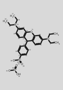 CCN(CC)c1ccc2c(c1)Oc1cc(N(CC)CC)ccc1C2c1ccc([N+](=O)[O-])cc1.O=[N+]([O-])O